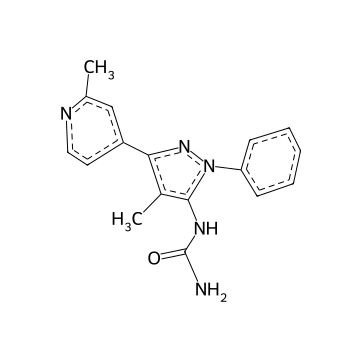 Cc1cc(-c2nn(-c3ccccc3)c(NC(N)=O)c2C)ccn1